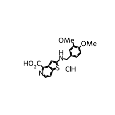 COc1ccc(CNc2cc3c(C(=O)O)nccc3s2)cc1OC.Cl